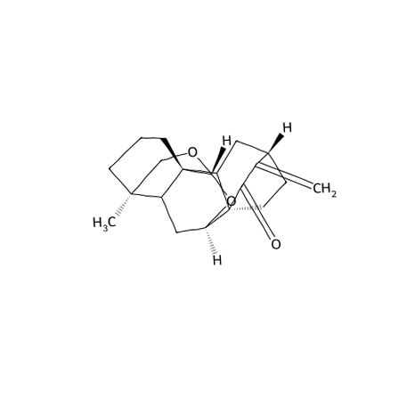 C=C1C(=O)[C@]23CC[C@H]1CC2[C@@]12CCC[C@@]4(C)CO[C@@H]1O[C@@H]3CC42